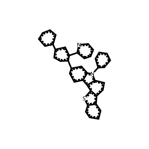 c1ccc(-c2ccc(-c3ccc4c5c6sc7ccccc7c6ccc5n(-c5ccccc5)c4c3)c(-c3ccccn3)c2)cc1